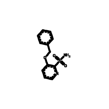 NS(=O)(=O)c1ncccc1OCc1ccccc1